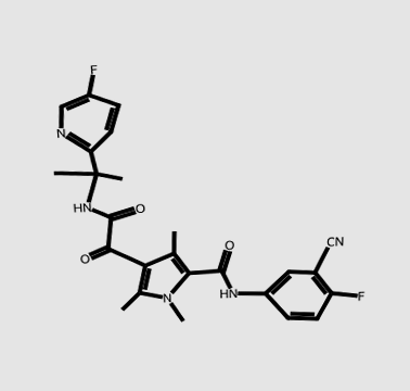 Cc1c(C(=O)C(=O)NC(C)(C)c2ccc(F)cn2)c(C)n(C)c1C(=O)Nc1ccc(F)c(C#N)c1